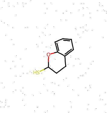 SC1CCc2ccccc2O1